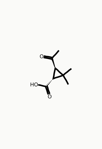 CC(=O)[C@@H]1[C@@H](C(=O)O)C1(C)C